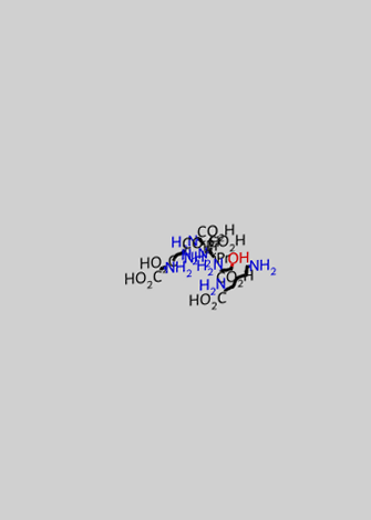 CC(C)C(N)C(=O)O.CC(C)C(N)C(=O)O.NC(CC(=O)O)C(=O)O.NC(CO)C(=O)O.NCC(=O)O.NCCCCC(N)C(=O)O